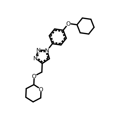 c1cc(-n2cc(COC3CCCCO3)nn2)ccc1OC1CCCCC1